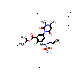 C=CCN(C)S(N)(=O)=O.CC(OC(=O)c1cc(-n2c(=O)cc(C(F)(F)F)n(C)c2=O)ccc1Cl)C(=O)O